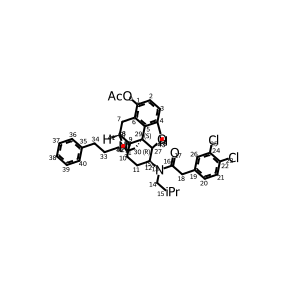 CC(=O)Oc1ccc2c3c1C[C@@H]1[C@@H]4CC[C@H](N(CC(C)C)C(=O)Cc5ccc(Cl)c(Cl)c5)[C@H](O2)[C@]34CCN1CCc1ccccc1